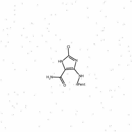 CCCCCNc1nc(Cl)[nH]c1C(N)=O